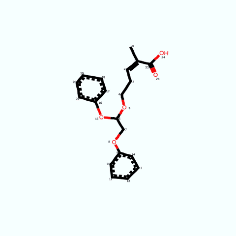 CC(=CCCOC(COc1ccccc1)Oc1ccccc1)C(=O)O